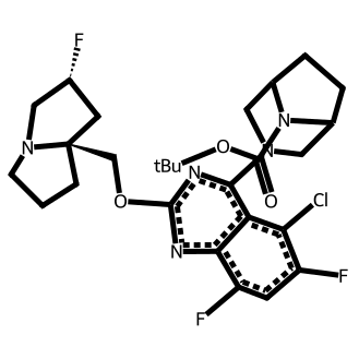 CC(C)(C)OC(=O)N1C2CCC1CN(c1nc(OC[C@@]34CCCN3C[C@H](F)C4)nc3c(F)cc(F)c(Cl)c13)C2